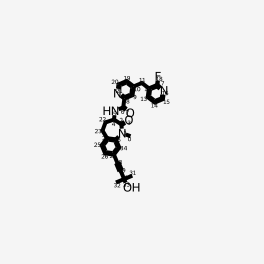 CN1C(=O)C(NC(=O)c2cc(Cc3cccnc3F)ccn2)CCc2ccc(C#CC(C)(C)O)cc21